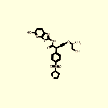 C[C@H](CO)OC#CC(C(=O)Nc1nc2ccc(O)nc2s1)c1ccc(S(=O)(=O)[C@H]2CCOC2)cc1